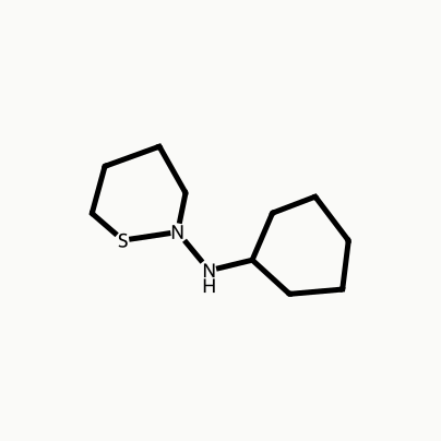 C1CCC(NN2CCCCS2)CC1